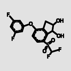 O=S(=O)(c1ccc(Oc2cc(F)cc(F)c2)c2c1C(O)C(O)C2)C(F)F